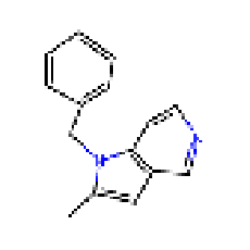 Cc1cc2cnccc2n1Cc1ccccc1